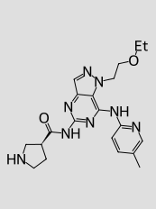 CCOCCn1ncc2nc(NC(=O)[C@H]3CCNC3)nc(Nc3ccc(C)cn3)c21